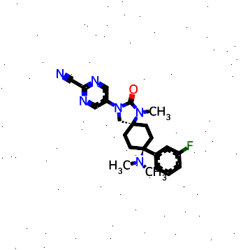 CN1C(=O)N(c2cnc(C#N)nc2)C[C@]12CC[C@@](c1cccc(F)c1)(N(C)C)CC2